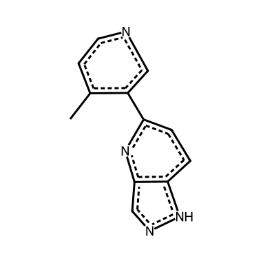 Cc1ccncc1-c1ccc2[nH]ncc2n1